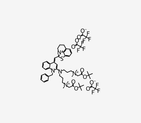 CC(C)(C)OC(=O)C[N+](C)(C)CCCN(CCC[N+](C)(C)CC(=O)OC(C)(C)C)C1=C/C(=C\c2sc3cccc4c3[n+]2CCC4)c2ccccc2N1Cc1ccccc1.O=C([O-])C(F)(F)F.O=C([O-])C(F)(F)F.O=C([O-])C(F)(F)F